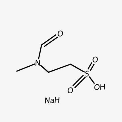 CN(C=O)CCS(=O)(=O)O.[NaH]